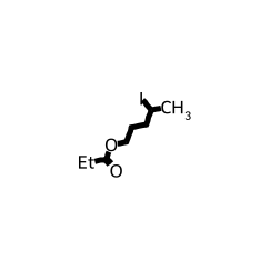 CCC(=O)OCCCC(C)I